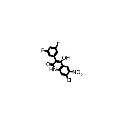 O=c1[nH]c2cc(Cl)c([N+](=O)[O-])cc2c(O)c1-c1cc(F)cc(F)c1